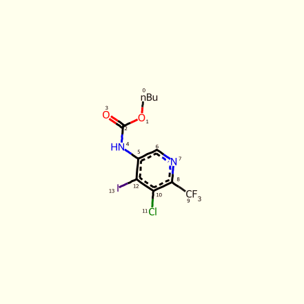 CCCCOC(=O)Nc1cnc(C(F)(F)F)c(Cl)c1I